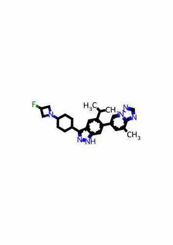 Cc1cc(-c2cc3[nH]nc(C4CCC(N5CC(F)C5)CC4)c3cc2C(C)C)cn2ncnc12